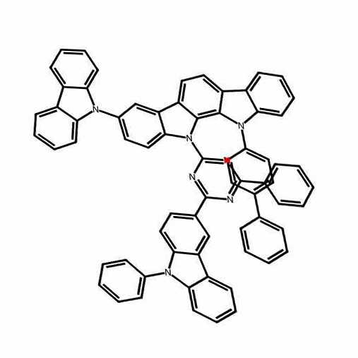 c1ccc(-c2ccc(-n3c4ccccc4c4ccc5c6cc(-n7c8ccccc8c8ccccc87)ccc6n(-c6nc(-c7ccccc7)nc(-c7ccc8c(c7)c7ccccc7n8-c7ccccc7)n6)c5c43)cc2)cc1